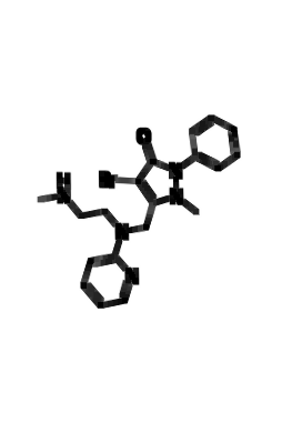 CNCCN(Cc1c(Br)c(=O)n(-c2ccccc2)n1C)c1ccccn1